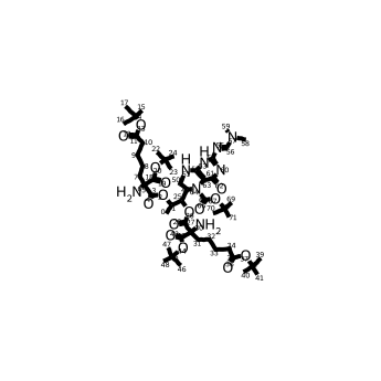 CC(OC(=O)C(N)(CCCCC(=O)OC(C)(C)C)C(=O)OC(C)(C)C)C(OC(=O)C(N)(CCCCC(=O)OC(C)(C)C)C(=O)OC(C)(C)C)C1CNc2[nH]c(N=CN(C)C)nc(=O)c2N1C(=O)OC(C)(C)C